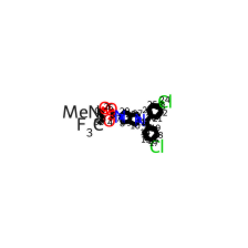 CNC(=O)C(OC(=O)N1CC2CN(C(c3ccc(Cl)cc3)c3ccc(Cl)cc3)CC2C1)C(F)(F)F